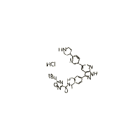 Cc1cc(-c2n[nH]c3ncc(-c4ccc(C5CCNCC5)nc4)cc23)ccc1C(C)NC(=O)c1noc(C(C)(C)C)n1.Cl